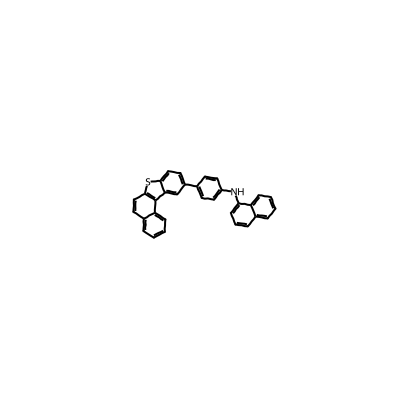 c1ccc2c(Nc3ccc(-c4ccc5sc6ccc7ccccc7c6c5c4)cc3)cccc2c1